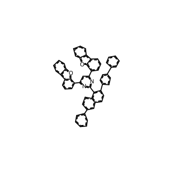 c1ccc(-c2ccc(-c3ccc4cc(-c5ccccc5)ccc4c3-c3nc(-c4cccc5c4oc4ccccc45)cc(-c4cccc5c4oc4ccccc45)n3)cc2)cc1